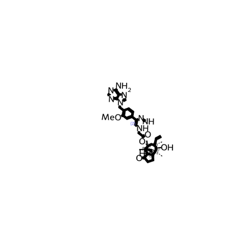 C=C[C@]1(C)C[C@@H](OC(=O)CN/C=C(\N=N)c2ccc(Cn3cnc4c(N)ncnc43)c(OC)c2)[C@]2(C)[C@H](C)CC[C@]3(CCC(=O)[C@H]32)[C@@H](C)[C@@H]1O